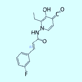 CCC1=C(O)C(=C=O)C=CN1NC(=O)/C=C/c1cccc(F)c1